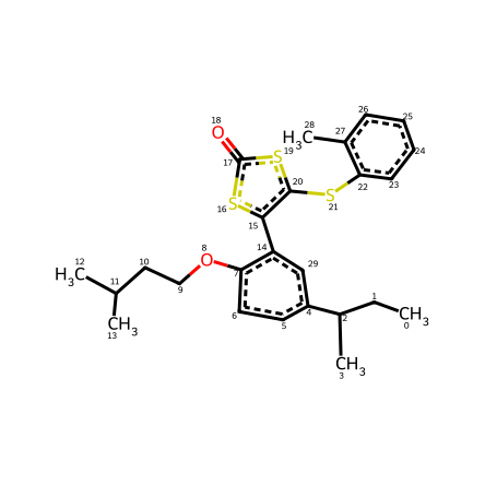 CCC(C)c1ccc(OCCC(C)C)c(-c2sc(=O)sc2Sc2ccccc2C)c1